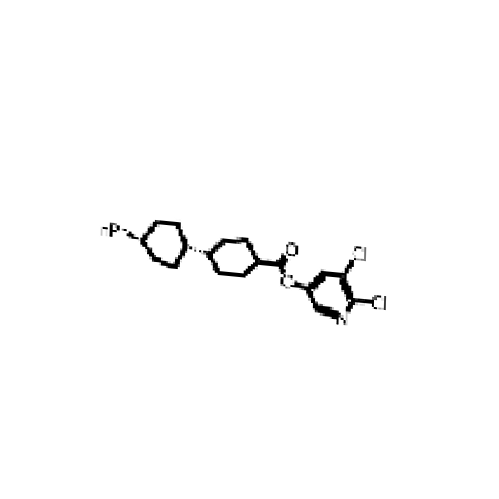 CCC[C@H]1CC[C@H](C2CCC(C(=O)Oc3cnc(Cl)c(Cl)c3)CC2)CC1